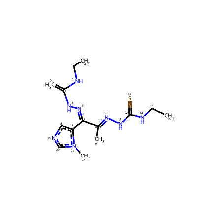 C=C(NCC)N/N=C(/C(C)=N/NC(=S)NCC)c1cncn1C